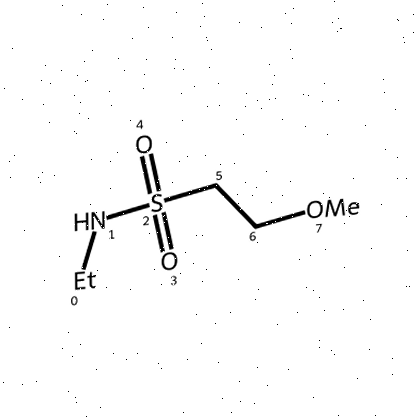 CCNS(=O)(=O)CCOC